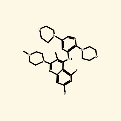 Cc1c(N2CCN(C)CC2)nc2cc(F)cc(F)c2c1Nc1cc(N2CCOCC2)cnc1N1CCOCC1